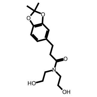 CC1(C)Oc2ccc(CCC(=O)N(CCO)CCO)cc2O1